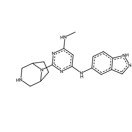 CNc1cc(Nc2ccc3[nH]ncc3c2)nc(N2C3CCC2CNC3)n1